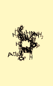 CC(=O)N[C@@H](Cc1ccccc1)C(=O)N[C@H]1CCC(=O)NCC[C@@H](C(=O)N[C@@H](Cc2c[nH]c3ccccc23)C(N)=O)NC(=O)[C@H](CCCNC(=N)N)NC(=O)[C@@H](Cc2ccccc2)NC(=O)[C@H](Cc2c[nH]cn2)NC1=O